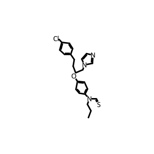 CCCN(C=S)c1ccc(OC(CCc2ccc(Cl)cc2)Cn2ccnc2)cc1